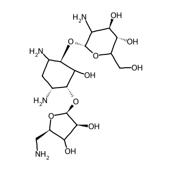 NC[C@H]1O[C@@H](O[C@H]2C(O)[C@H](O[C@H]3OC(CO)[C@@H](O)[C@H](O)C3N)C(N)C[C@H]2N)[C@@H](O)C1O